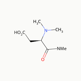 CNC(=O)[C@@H](CC(=O)O)N(C)C